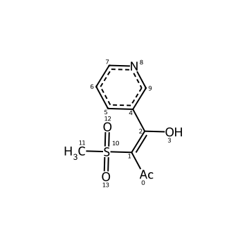 CC(=O)C(=C(O)c1cccnc1)S(C)(=O)=O